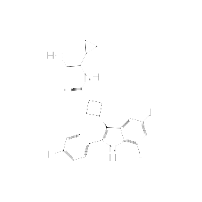 O=C(NC(CO)C1CC1)[C@H]1C[C@H](c2c(-c3ccc(F)cc3)[nH]c3c(F)cc(F)cc32)C1